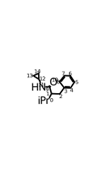 CC(C)C(Cc1ccccc1)C(=O)NC1CC1